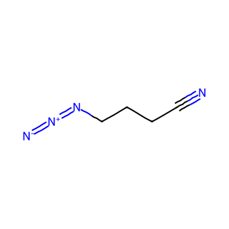 N#CCCCN=[N+]=[N-]